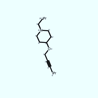 CC(C)C#CCOC1CCN(CC(C)C)CC1